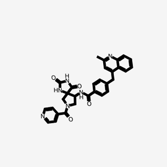 Cc1cc(Cc2ccc(C(=O)NC3CN(C(=O)c4ccncc4)CC34NC(=O)NC4=O)cc2)c2ccccc2n1